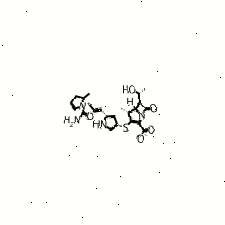 CC1CCC[N+]1(C/C=C/[C@@H]1C[C@H](SC2=C(C(=O)[O-])N3C(=O)[C@H]([C@@H](C)O)[C@H]3[C@H]2C)CN1)C(N)=O